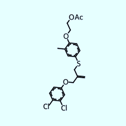 C=C(COc1ccc(Cl)c(Cl)c1)CSc1ccc(OCCOC(C)=O)c(C)c1